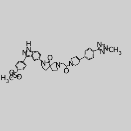 Cn1cnc(-c2ccc(C3=CCN(C(=O)CN4CCC5(CCN(c6ccc7[nH]nc(-c8ccc(S(C)(=O)=O)cc8)c7c6)C5=O)C4)CC3)cc2)n1